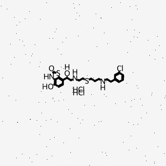 Cl.Cl.O=c1[nH]c2c(O)ccc([C@@H](O)CNCCSCCCNCCc3cccc(Cl)c3)c2s1